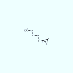 CCC(C)CCCCC1=CC1